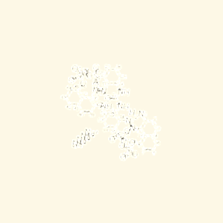 Nc1ccc2cccc(OS(=O)(=O)[O-])c2c1N=Nc1c(NC(=O)Nc2cccc(S(=O)(=O)[O-])c2N=Nc2c(N)ccc3cccc(OS(=O)(=O)[O-])c23)cccc1S(=O)(=O)[O-].[Na+].[Na+].[Na+].[Na+]